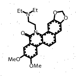 CCN(CC)CCn1c(=O)c2cc(OC)c(OC)cc2c2ccc3cc4c(cc3c21)OCO4